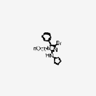 CCCCCCCCn1c(NC2CCCC2)nc(Br)c1-c1ccccc1